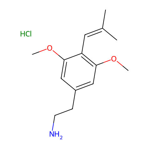 COc1cc(CCN)cc(OC)c1C=C(C)C.Cl